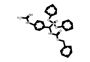 N=C(N)Nc1ccc(C(NC(=O)OCc2ccccc2)P(=O)(Oc2ccccc2)Oc2ccccc2)cc1